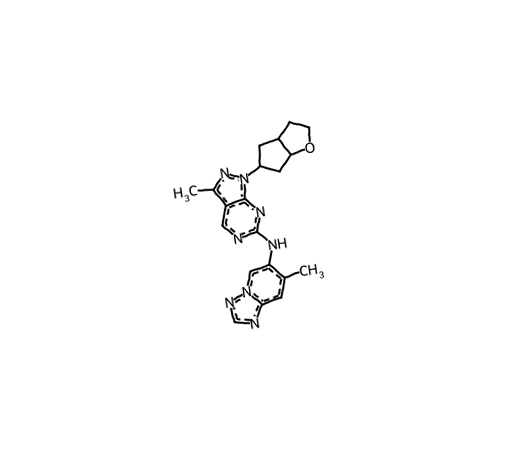 Cc1cc2ncnn2cc1Nc1ncc2c(C)nn(C3CC4CCOC4C3)c2n1